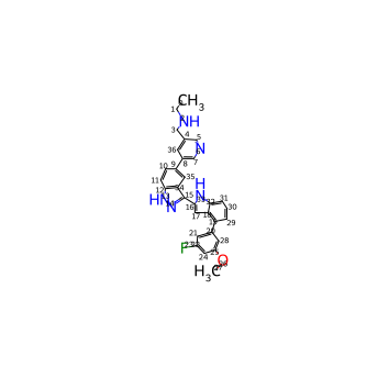 CCNCc1cncc(-c2ccc3[nH]nc(-c4cc5c(-c6cc(F)cc(OC)c6)cccc5[nH]4)c3c2)c1